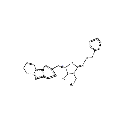 CCN1C(=NOCc2ccccc2)O/C(=C/c2ccc3oc4c(c3c2)C=CCC4)C1O